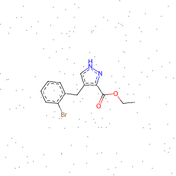 CCOC(=O)c1n[nH]cc1Cc1ccccc1Br